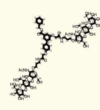 CC(=O)N[C@H]1[C@H](OCCCNC(=O)COc2ccc(-c3cc(OCC(=O)NCCCO[C@@H]4O[C@H](CO)[C@@H](O[C@@H]5O[C@H](CO)[C@H](O)[C@H](O[C@H]6O[C@H](CO)[C@H](O)[C@H](O)[C@H]6O)[C@H]5O)[C@H](O)[C@H]4NC(C)=O)cc(C(=O)OCc4ccccc4)c3)cc2)O[C@H](CO)[C@@H](O[C@@H]2O[C@H](CO)[C@H](O)[C@H](O[C@H]3O[C@H](CO)[C@H](O)[C@H](O)[C@H]3O)[C@H]2O)[C@@H]1O